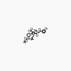 COC(=O)c1c(N2CCCC(NC(=O)OC(C)(C)C)C2)n(CC=C(C)C)c2c(=O)n(CC(=O)c3cccc(OC)c3)cnc12